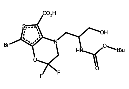 CC(C)(C)OC(=O)NC(CO)CN1CC(F)(F)Oc2c(Br)sc(C(=O)O)c21